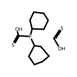 OC(=S)P(C1CCCCC1)C1CCCCC1.OC=S